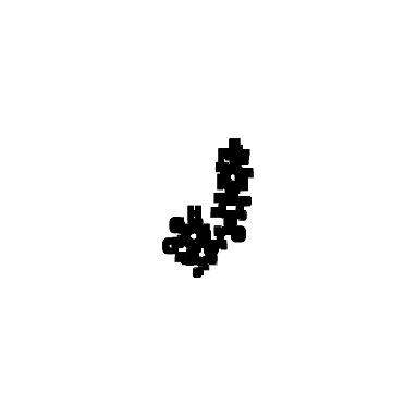 C[C@@H](COCCC(=O)N1CCN(c2ncc(C(F)(F)F)cn2)CC1)N(C)c1cn[nH]c(=O)c1Cl